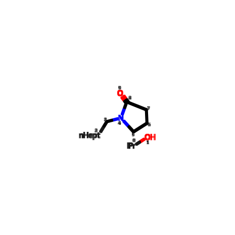 CC(C)O.CCCCCCCCN1CCCC1=O